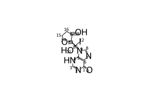 O=c1nc[nH]c2c1ncn2C(O)(I)[C@H]1OCC[C@@H]1O